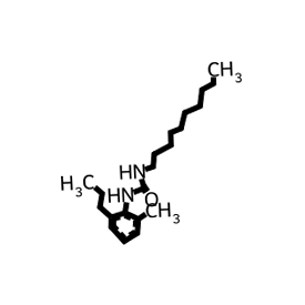 CCCCCCCCCCNC(=O)Nc1c(C)cccc1CCC